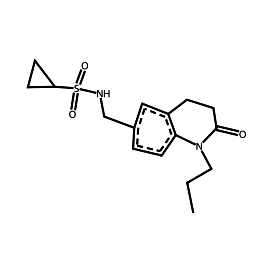 CCCN1C(=O)CCc2cc(CNS(=O)(=O)C3CC3)ccc21